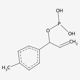 C=CC(OP(O)O)c1ccc(C)cc1